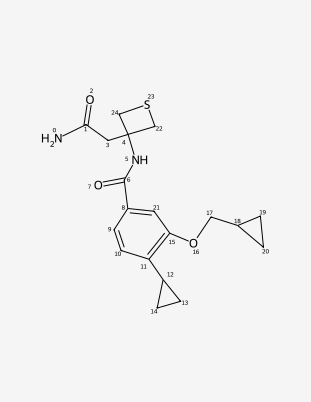 NC(=O)CC1(NC(=O)c2ccc(C3CC3)c(OCC3CC3)c2)CSC1